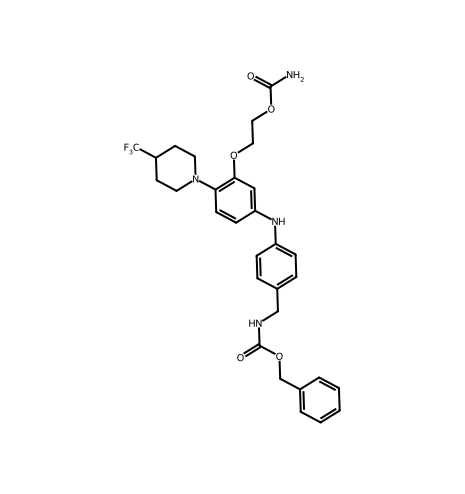 NC(=O)OCCOc1cc(Nc2ccc(CNC(=O)OCc3ccccc3)cc2)ccc1N1CCC(C(F)(F)F)CC1